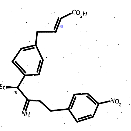 CC[C@H](C(=N)CCc1ccc([N+](=O)[O-])cc1)c1ccc(C/C=C/C(=O)O)cc1